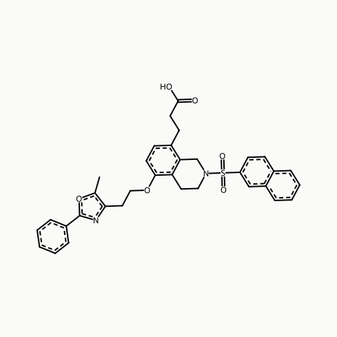 Cc1oc(-c2ccccc2)nc1CCOc1ccc(CCC(=O)O)c2c1CCN(S(=O)(=O)c1ccc3ccccc3c1)C2